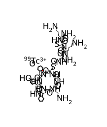 CC(C)C1NC(=O)C(CCCCN)NC(=O)C(Cc2c[nH]c3ccccc23)NC(=O)C(Cc2ccc(O)cc2)NC(=O)C(Cc2ccccc2)N(C)C(=O)C(CCSCC(=O)NCC(N)C([O-])=NC(CCCCN)C([O-])=NC(C[S-])C(=O)NC(CCCCN)C(N)=O)NC1=O.[O]=[99Tc+3]